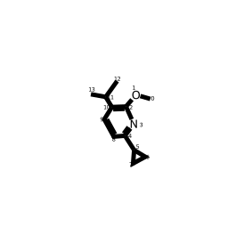 COc1nc(C2CC2)ccc1C(C)C